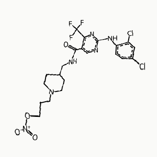 O=C(NCC1CCN(CCCO[N+](=O)[O-])CC1)c1cnc(Nc2ccc(Cl)cc2Cl)nc1C(F)(F)F